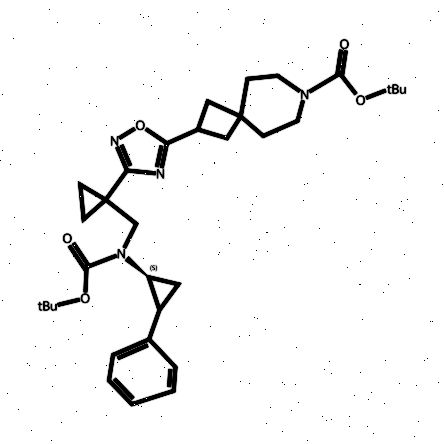 CC(C)(C)OC(=O)N1CCC2(CC1)CC(c1nc(C3(CN(C(=O)OC(C)(C)C)[C@H]4CC4c4ccccc4)CC3)no1)C2